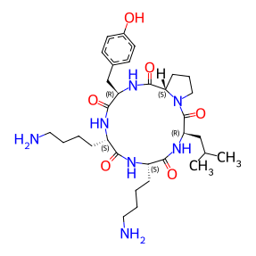 CC(C)C[C@H]1NC(=O)[C@H](CCCCN)NC(=O)[C@H](CCCCN)NC(=O)[C@@H](Cc2ccc(O)cc2)NC(=O)[C@@H]2CCCN2C1=O